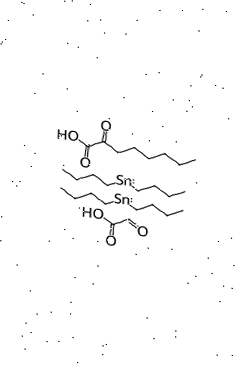 CCCCCCC(=O)C(=O)O.CCC[CH2][Sn][CH2]CCC.CCC[CH2][Sn][CH2]CCC.O=CC(=O)O